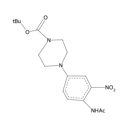 CC(=O)Nc1ccc(N2CCN(C(=O)OC(C)(C)C)CC2)cc1[N+](=O)[O-]